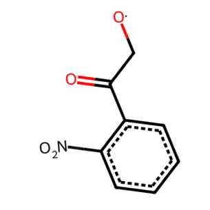 [O]CC(=O)c1ccccc1[N+](=O)[O-]